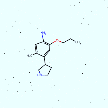 CCCOc1cc(C2CCNC2)c(C)cc1N